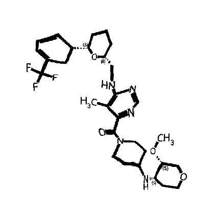 CO[C@@H]1COCC[C@@H]1NC1CCN(C(=O)c2ncnc(NC[C@H]3CCC[C@@H](C4C=CC=C(C(F)(F)F)C4)O3)c2C)CC1